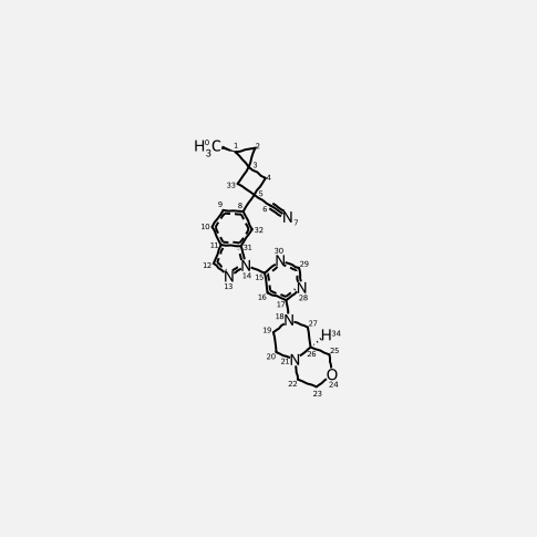 C[C@H]1CC12CC(C#N)(c1ccc3cnn(-c4cc(N5CCN6CCOC[C@@H]6C5)ncn4)c3c1)C2